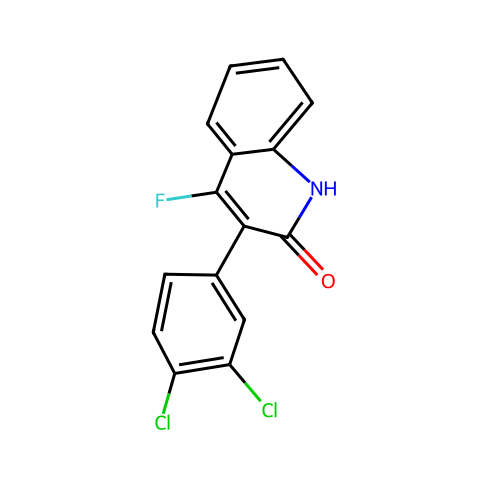 O=c1[nH]c2ccccc2c(F)c1-c1ccc(Cl)c(Cl)c1